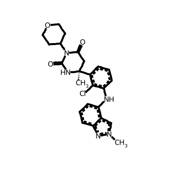 Cn1cc2c(Nc3cccc([C@]4(C)CC(=O)N(C5CCOCC5)C(=O)N4)c3Cl)cccc2n1